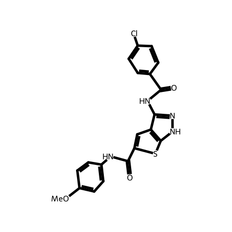 COc1ccc(NC(=O)c2cc3c(NC(=O)c4ccc(Cl)cc4)n[nH]c3s2)cc1